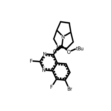 CC(C)(C)OC(=O)N1C2CCC1CN(c1nc(F)nc3c(F)c(Br)ccc13)CC2